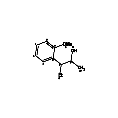 CCC(c1ccccc1OC)C(C)O